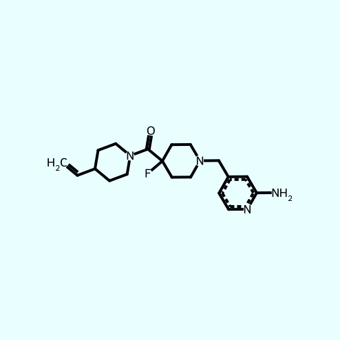 C=CC1CCN(C(=O)C2(F)CCN(Cc3ccnc(N)c3)CC2)CC1